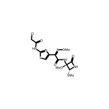 CON=C(C(=O)N[C@]1(OC)C(=O)N[C@@H]1SC)c1csc(NC(=O)CCl)n1